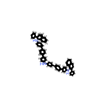 c1ccc(-c2ccc3ccccc3c2Nc2ccc(-c3ccc(-c4ccc(Nc5ccc(-c6ccc(-c7ccc(Nc8c(-c9ccccc9)ccc9ccccc89)cc7)cc6)cc5)cc4)cc3)cc2)cc1